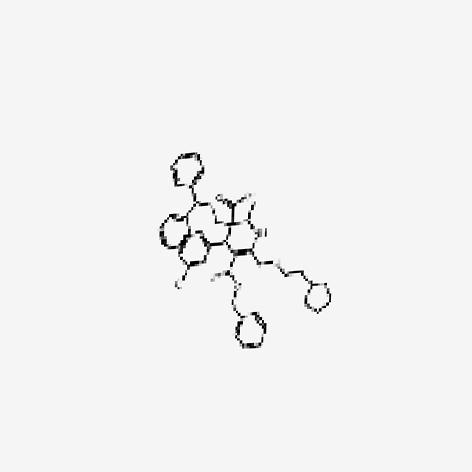 CC1NC(COCCN2CCCC2)=C(C(=O)OCc2ccccc2)C(c2cccc(Cl)c2)C1(CCC(c1ccccc1)c1ccccc1)C(=O)O